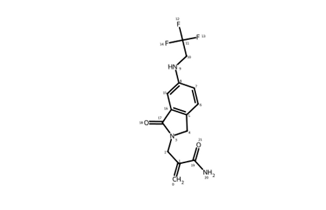 C=C(CN1Cc2ccc(NCC(F)(F)F)cc2C1=O)C(N)=O